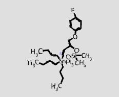 CCC[CH2][Sn](/[CH]=C/C(COc1ccc(F)cc1)O[Si](C)(C)C)([CH2]CCC)[CH2]CCC